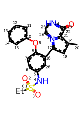 CCS(=O)(=O)Nc1ccc(Oc2ccccc2)c(-c2cc(C)c3c(=O)[nH]ccn23)c1